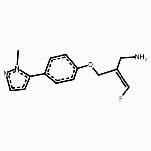 Cn1nccc1-c1ccc(OC/C(=C\F)CN)cc1